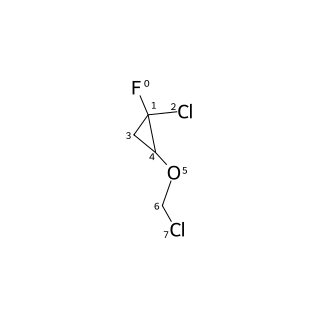 FC1(Cl)CC1OCCl